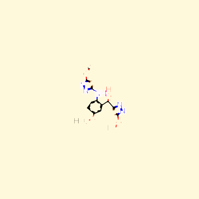 COc1ccc(Nc2nnc(OC)s2)c(C(O)c2nnc(OC)s2)c1